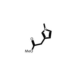 COC(=O)Cc1ccn(C)c1